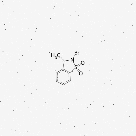 CC1c2ccccc2S(=O)(=O)N1Br